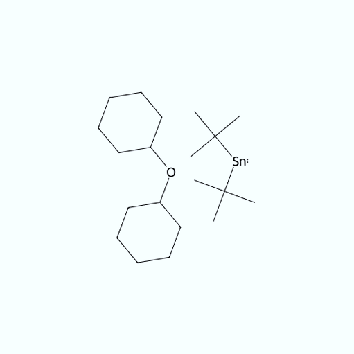 C1CCC(OC2CCCCC2)CC1.C[C](C)(C)[Sn][C](C)(C)C